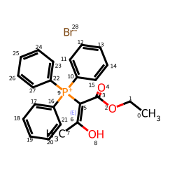 CCOC(=O)/C(=C(/C)O)[P+](c1ccccc1)(c1ccccc1)c1ccccc1.[Br-]